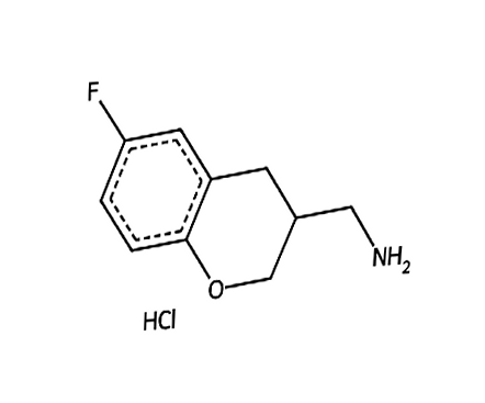 Cl.NCC1COc2ccc(F)cc2C1